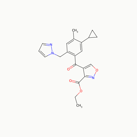 CCOC(=O)c1nocc1C(=O)c1cc(C2CC2)c(C)cc1Cn1cccn1